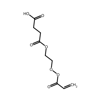 C=CC(=O)OOCCOC(=O)CCC(=O)O